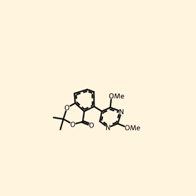 COc1ncc(-c2cccc3c2C(=O)OC(C)(C)O3)c(OC)n1